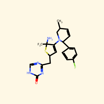 CC1C=CC(c2ccc(F)cc2)N(C2=CC(Cc3nc[nH]c(=O)n3)SC2(N)C(F)(F)F)C1